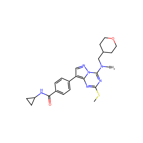 BN(CC1CCOCC1)c1nc(SC)nc2c(-c3ccc(C(=O)NC4CC4)cc3)cnn12